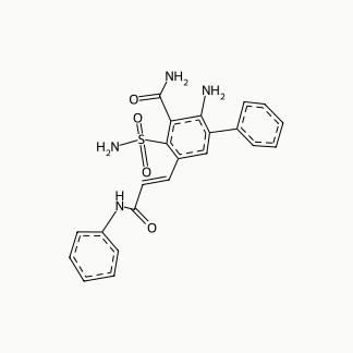 NC(=O)c1c(N)c(-c2ccccc2)cc(C=CC(=O)Nc2ccccc2)c1S(N)(=O)=O